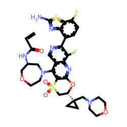 C=CC(=O)N[C@@H]1COCCN(c2c3c(nc4c(F)c(-c5ccc(F)c6sc(N)nc56)ncc24)O[C@H](C2(CN4CCOCC4)CC2)CS3(=O)=O)C1